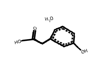 O.O=C(O)Cc1cccc(O)c1